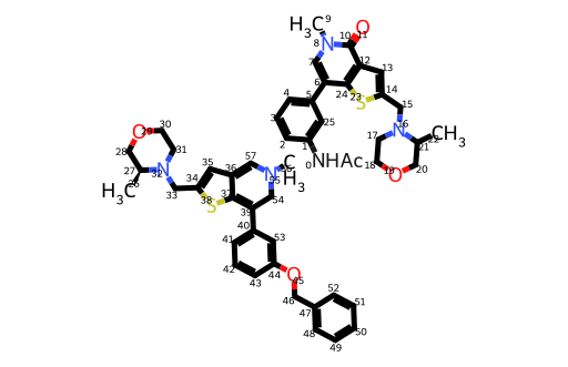 CC(=O)Nc1cccc(-c2cn(C)c(=O)c3cc(CN4CCOCC4C)sc23)c1.C[C@H]1COCCN1Cc1cc2c(s1)=C(c1cccc(OCc3ccccc3)c1)CN(C)C=2